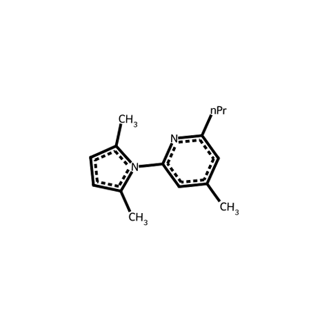 CCCc1cc(C)cc(-n2c(C)ccc2C)n1